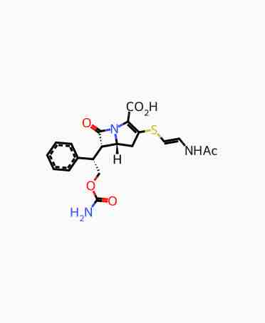 CC(=O)NC=CSC1=C(C(=O)O)N2C(=O)[C@@H]([C@H](COC(N)=O)c3ccccc3)[C@H]2C1